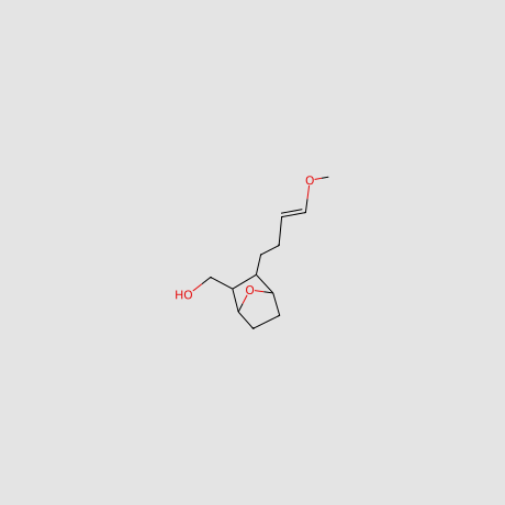 CO/C=C/CCC1C2CCC(O2)C1CO